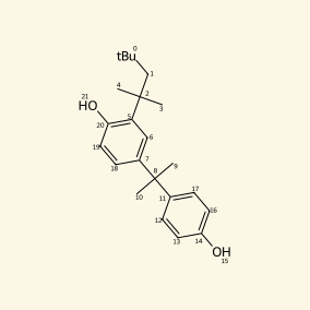 CC(C)(C)CC(C)(C)c1cc(C(C)(C)c2ccc(O)cc2)ccc1O